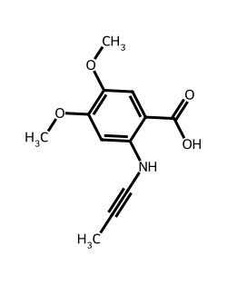 CC#CNc1cc(OC)c(OC)cc1C(=O)O